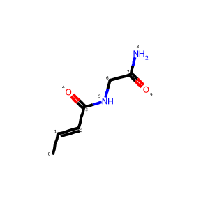 CC=CC(=O)NCC(N)=O